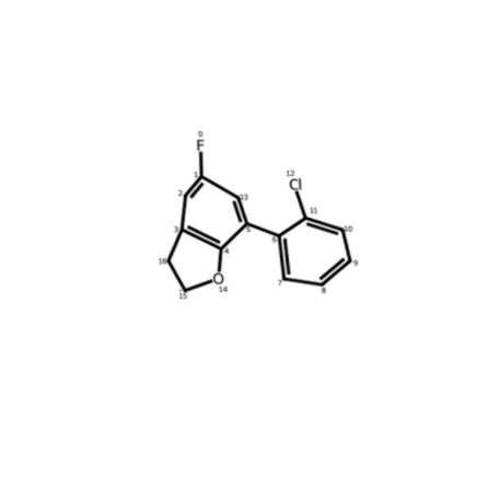 Fc1cc2c(c(-c3ccccc3Cl)c1)O[CH]C2